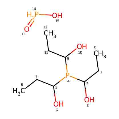 CCC(O)P(C(O)CC)C(O)CC.O=[PH2]O